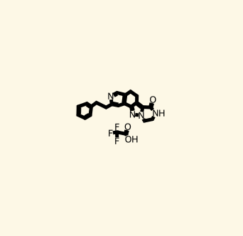 O=C(O)C(F)(F)F.O=C1NCCn2nc3c(c21)CCc1cnc(CCc2ccccc2)cc1-3